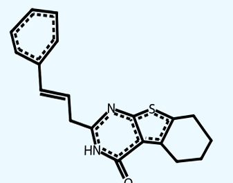 O=c1[nH]c(CC=Cc2ccccc2)nc2sc3c(c12)CCCC3